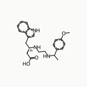 COc1ccc(C(C)NCCN[C@@H](CC(=O)O)Cc2c[nH]c3ccccc23)cc1